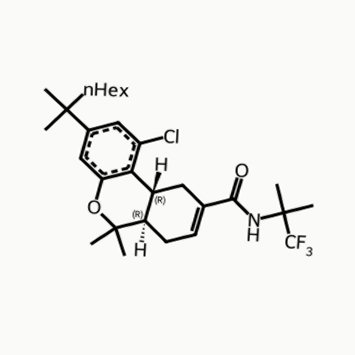 CCCCCCC(C)(C)c1cc(Cl)c2c(c1)OC(C)(C)[C@@H]1CC=C(C(=O)NC(C)(C)C(F)(F)F)C[C@@H]21